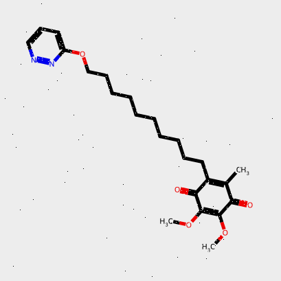 COC1=C(OC)C(=O)C(CCCCCCCCCCOc2cccnn2)=C(C)C1=O